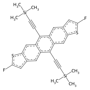 C[Si](C)(C)C#Cc1c2cc3cc(F)sc3cc2c(C#C[Si](C)(C)C)c2cc3cc(F)sc3cc12